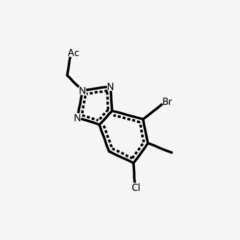 CC(=O)Cn1nc2cc(Cl)c(C)c(Br)c2n1